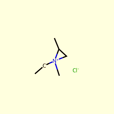 CC[N+]1(C)CC1C.[Cl-]